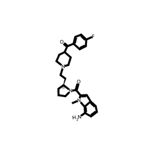 Cn1c(C(=O)N2CCC[C@H]2CCN2CCC(C(=O)c3ccc(F)cc3)CC2)cc2cccc(N)c21